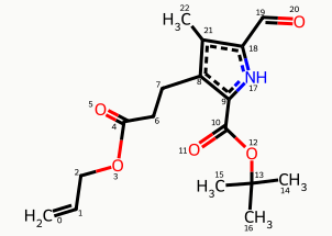 C=CCOC(=O)CCc1c(C(=O)OC(C)(C)C)[nH]c(C=O)c1C